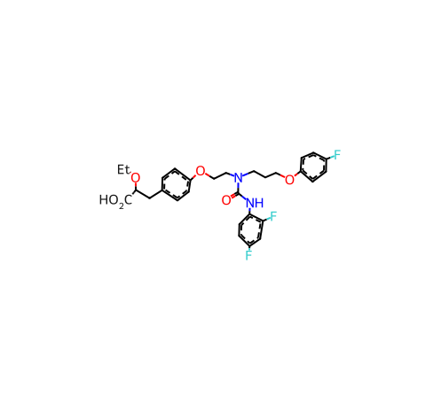 CCOC(Cc1ccc(OCCN(CCCOc2ccc(F)cc2)C(=O)Nc2ccc(F)cc2F)cc1)C(=O)O